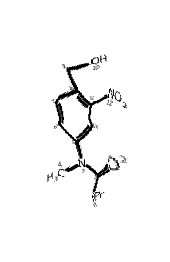 CC(C)C(=O)N(C)c1ccc(CO)c([N+](=O)[O-])c1